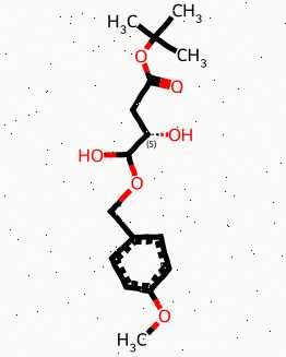 COc1ccc(COC(O)[C@@H](O)CC(=O)OC(C)(C)C)cc1